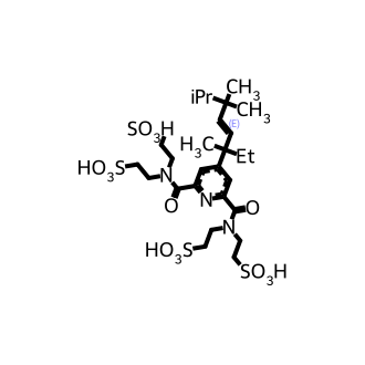 CCC(C)(/C=C/C(C)(C)C(C)C)c1cc(C(=O)N(CCS(=O)(=O)O)CCS(=O)(=O)O)nc(C(=O)N(CCS(=O)(=O)O)CCS(=O)(=O)O)c1